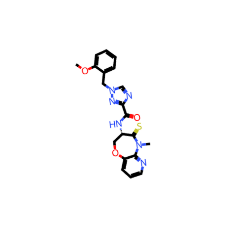 COc1ccccc1Cn1cnc(C(=O)N[C@H]2COc3cccnc3N(C)C2=S)n1